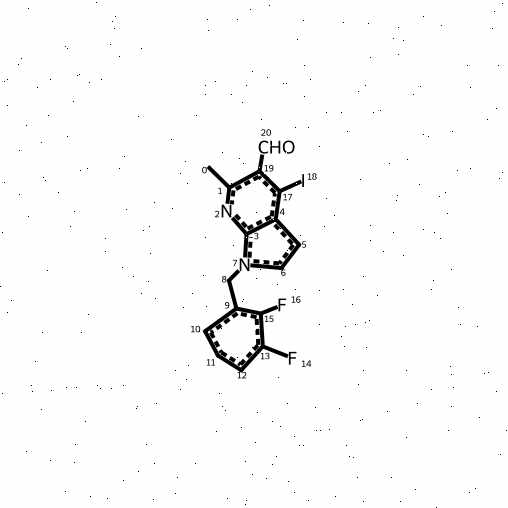 Cc1nc2c(ccn2Cc2cccc(F)c2F)c(I)c1C=O